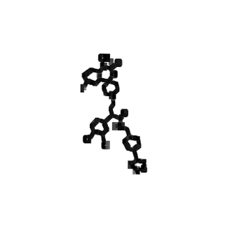 CN1C(=O)OC2(CCN(CCC(C(=O)NCc3ccc(-c4csnn4)cc3)c3ccc(Cl)c(Cl)c3)CC2)c2cc(F)ccc21